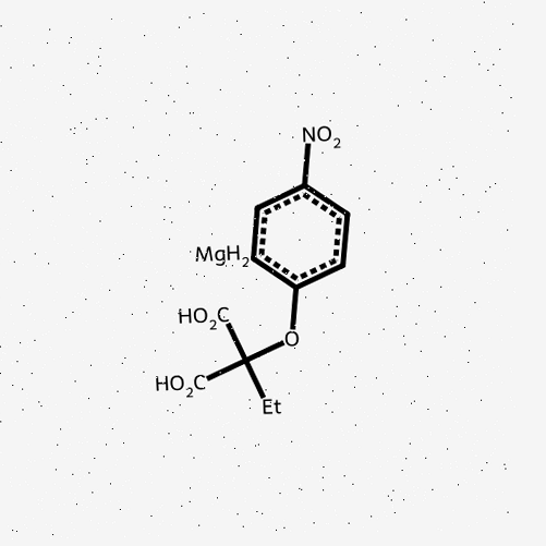 CCC(Oc1ccc([N+](=O)[O-])cc1)(C(=O)O)C(=O)O.[MgH2]